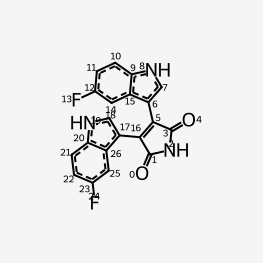 O=C1NC(=O)C(c2c[nH]c3ccc(F)cc23)=C1c1c[nH]c2ccc(F)cc12